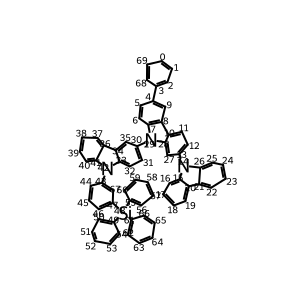 c1ccc(-c2ccc3c(c2)c2ccc(-n4c5ccccc5c5ccccc54)cc2n3-c2ccc3c(c2)c2ccccc2n3-c2cccc([Si](c3ccccc3)(c3ccccc3)c3ccccc3)c2)cc1